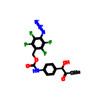 COC(=O)C(O)c1ccc(NC(=O)OCc2c(F)c(F)c(N=[N+]=[N-])c(F)c2F)cc1